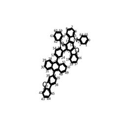 c1ccc(-n2c3ccccc3c3c2c2oc4ccccc4c2c2c4cc(-c5c6ccccc6c(-c6ccc7c(c6)oc6ccccc67)c6ccccc56)ccc4n(-c4ccccc4)c23)cc1